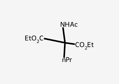 CCCC(NC(C)=O)(C(=O)OCC)C(=O)OCC